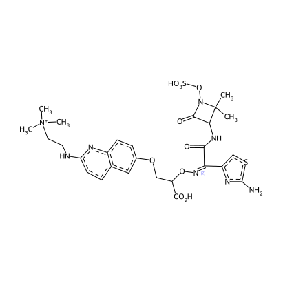 CC1(C)C(NC(=O)/C(=N\OC(COc2ccc3nc(NCC[N+](C)(C)C)ccc3c2)C(=O)O)c2csc(N)n2)C(=O)N1OS(=O)(=O)O